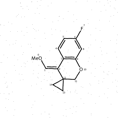 COC=C1c2ccc(F)cc2OCC12CC2